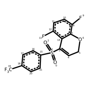 O=S(=O)(C1=CCOc2c(F)ccc(F)c21)c1ccc(C(F)(F)F)cc1